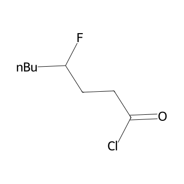 CCCCC(F)CCC(=O)Cl